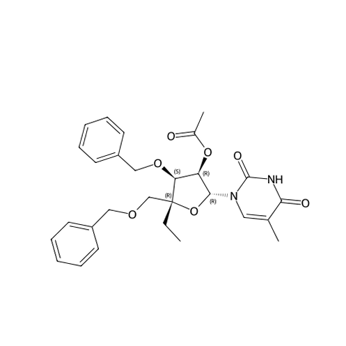 CC[C@]1(COCc2ccccc2)O[C@@H](n2cc(C)c(=O)[nH]c2=O)[C@H](OC(C)=O)[C@@H]1OCc1ccccc1